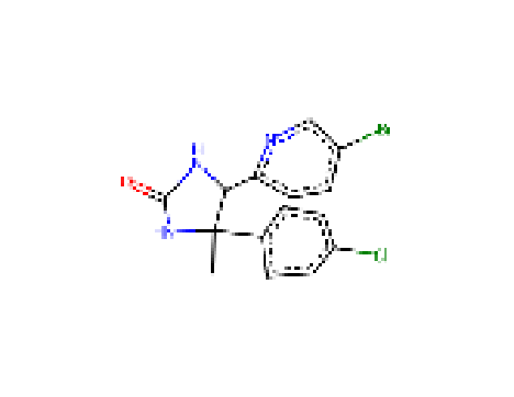 CC1(c2ccc(Cl)cc2)NC(=O)NC1c1ccc(Br)cn1